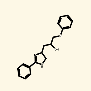 OC(COc1ccccc1)CC1CNC(c2ccccc2)=N1